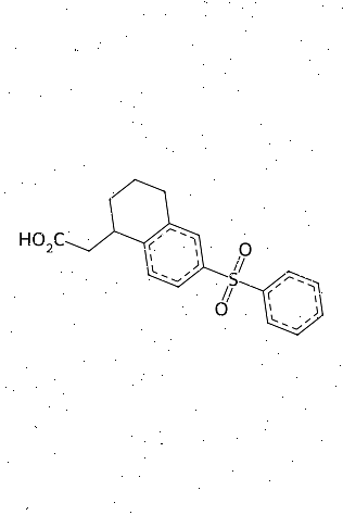 O=C(O)CC1CCCc2cc(S(=O)(=O)c3ccccc3)ccc21